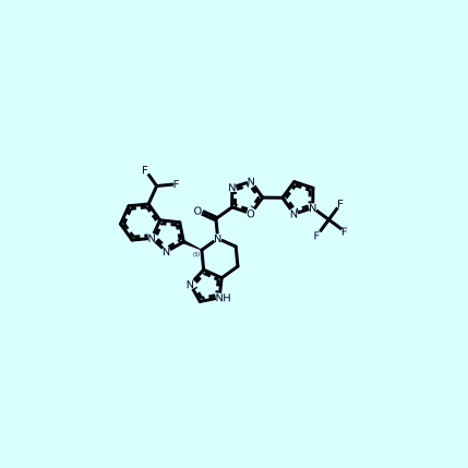 O=C(c1nnc(-c2ccn(C(F)(F)F)n2)o1)N1CCc2[nH]cnc2[C@H]1c1cc2c(C(F)F)cccn2n1